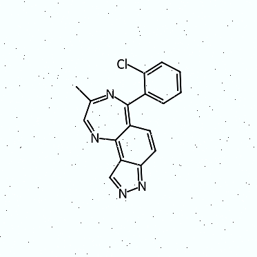 Cc1cnc2c(ccc3nncc32)c(-c2ccccc2Cl)n1